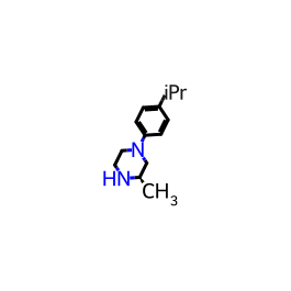 CC(C)c1ccc(N2CCN[C@H](C)C2)cc1